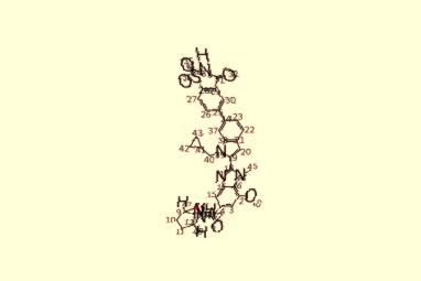 COc1cc(C(=O)N2C[C@H]3CC[C@@H]2[C@@H]3N)cc2nc(-c3cc4ccc(-c5ccc6c(c5)C(=O)NS6(=O)=O)cc4n3CC3CC3)n(C)c12